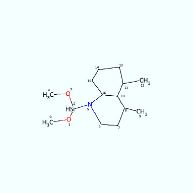 CO[SiH](OC)N1CCC(C)C2C(C)CCCC21